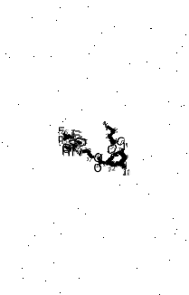 O=C(CCI)Oc1c(I)cc(I)cc1C(=O)OCCNS(=O)(=O)C(F)(F)F